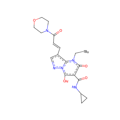 CC(C)(C)Cn1c(=O)c(C(=O)NC2CC2)c(O)n2ncc(C=CC(=O)N3CCOCC3)c12